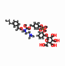 CCCc1cccc(C(C)OCN(CCN(C)C)C(=O)OCc2ccc(OS(=O)(=O)Oc3ccccc3O[C@@H]3O[C@H](CO)[C@H](O)[C@H](O)[C@H]3O)cc2)c1